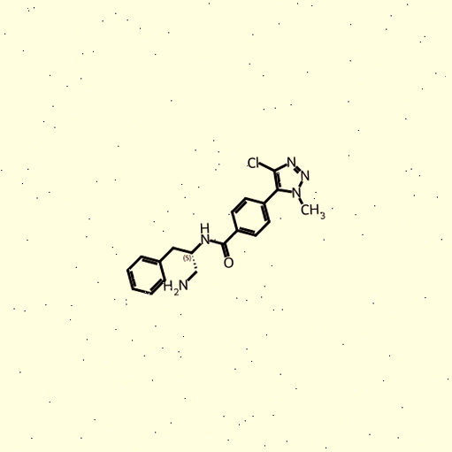 Cn1nnc(Cl)c1-c1ccc(C(=O)N[C@H](CN)Cc2ccccc2)cc1